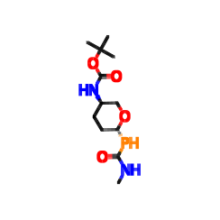 CNC(=O)P[C@@H]1CC[C@@H](NC(=O)OC(C)(C)C)CO1